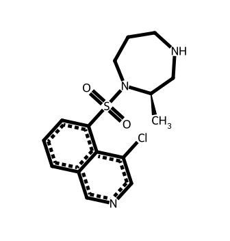 C[C@@H]1CNCCCN1S(=O)(=O)c1cccc2cncc(Cl)c12